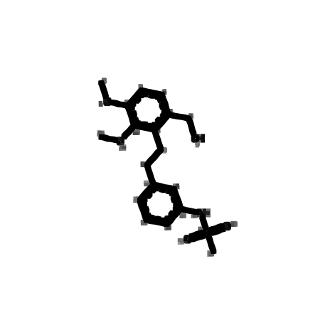 COc1ccc(CO)c(CCc2cccc(NS(C)(=O)=O)c2)c1OC